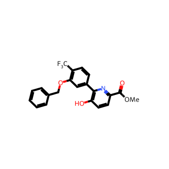 COC(=O)c1ccc(O)c(-c2ccc(C(F)(F)F)c(OCc3ccccc3)c2)n1